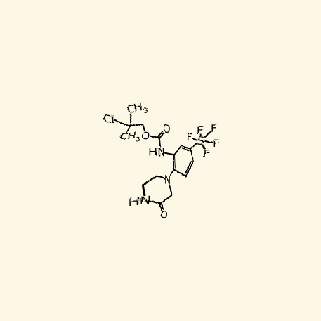 CC(C)(Cl)COC(=O)Nc1cc(S(F)(F)(F)(F)F)ccc1N1CCNC(=O)C1